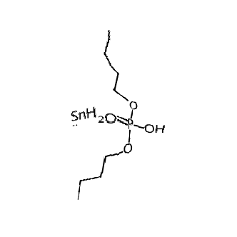 CCCCOP(=O)(O)OCCCC.[SnH2]